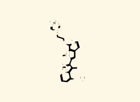 COc1c[c]cn2nc(-c3cc4ccnc(OCCn5cnnc5)c4n3C)c(C)c12